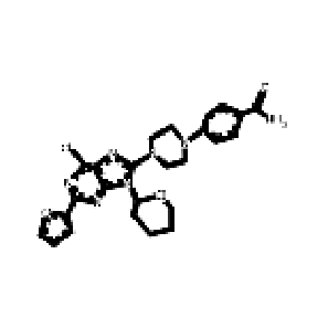 NC(=O)c1ccc(N2CCN(c3nc4c(Cl)nc(-c5ccco5)nc4n3C3CCCCO3)CC2)cc1